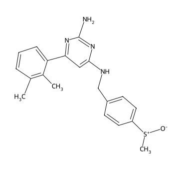 Cc1cccc(-c2cc(NCc3ccc([S+](C)[O-])cc3)nc(N)n2)c1C